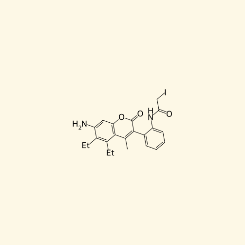 CCc1c(N)cc2oc(=O)c(-c3ccccc3NC(=O)CI)c(C)c2c1CC